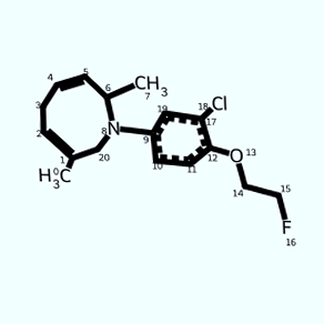 C/C1=C/CC=CC(C)N(c2ccc(OCCF)c(Cl)c2)C1